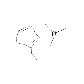 CC1=CC=CC1.[CH3][Pt]([CH3])[CH3]